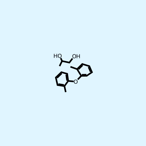 CC(O)CO.Cc1ccccc1Oc1ccccc1C